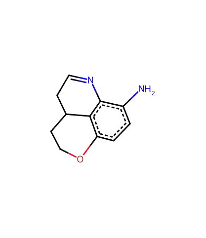 Nc1ccc2c3c1N=CCC3CCO2